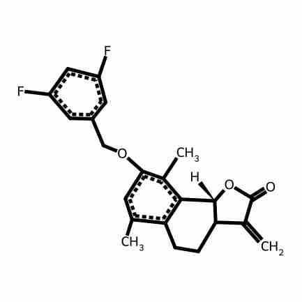 C=C1C(=O)O[C@H]2c3c(C)c(OCc4cc(F)cc(F)c4)cc(C)c3CCC12